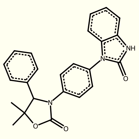 CC1(C)OC(=O)N(c2ccc(-n3c(=O)[nH]c4ccccc43)cc2)C1c1ccccc1